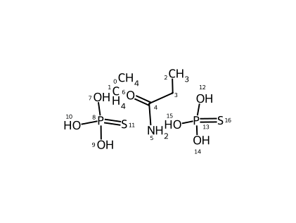 C.C.CCC(N)=O.OP(O)(O)=S.OP(O)(O)=S